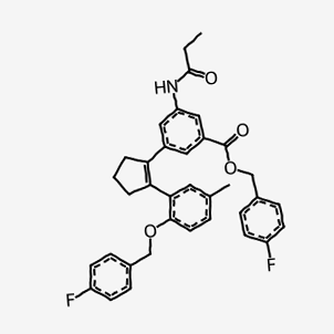 CCC(=O)Nc1cc(C(=O)OCc2ccc(F)cc2)cc(C2=C(c3cc(C)ccc3OCc3ccc(F)cc3)CCC2)c1